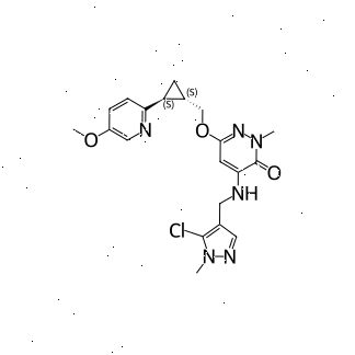 COc1ccc([C@H]2C[C@@H]2COc2cc(NCc3cnn(C)c3Cl)c(=O)n(C)n2)nc1